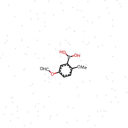 COc1ccc(OC=O)cc1B(O)O